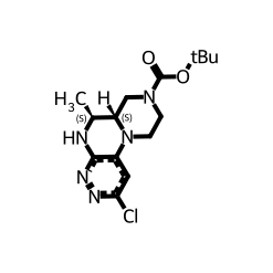 C[C@@H]1Nc2nnc(Cl)cc2N2CCN(C(=O)OC(C)(C)C)C[C@@H]12